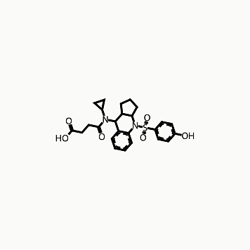 O=C(O)CCC(=O)N(C1CC1)C1c2ccccc2N(S(=O)(=O)c2ccc(O)cc2)C2CCCC12